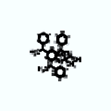 CC(c1ccccc1)c1cc(C(C)c2ccccc2)c(OC(C)(C)CO)c(C(C)c2ccccc2)c1